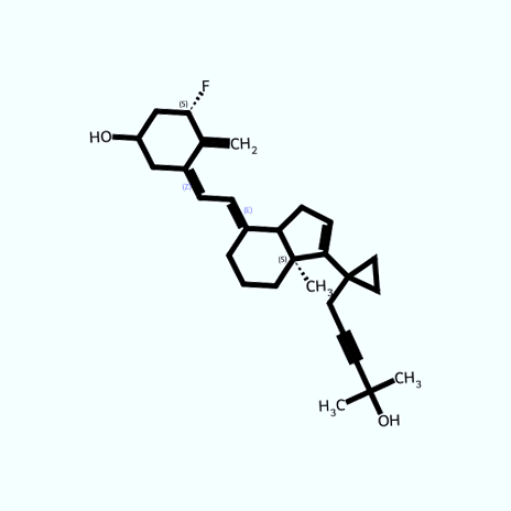 C=C1/C(=C\C=C2/CCC[C@]3(C)C(C4(CC#CC(C)(C)O)CC4)=CCC23)CC(O)C[C@@H]1F